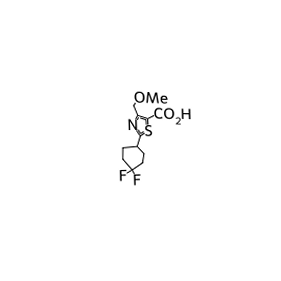 COCc1nc(C2CCC(F)(F)CC2)sc1C(=O)O